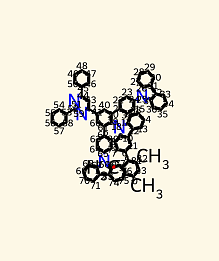 Cc1cc(C)c(-c2ccc3c(c2)c2ccccc2n3-c2c(-c3ccc(-n4c5ccccc5c5ccccc54)cc3)cc(-c3cc(-c4ccccc4)nc(-c4ccccc4)n3)cc2-c2ccc(-n3c4ccccc4c4ccccc43)cc2)c(C)c1